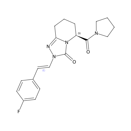 O=C([C@@H]1CCCc2nn(/C=C/c3ccc(F)cc3)c(=O)n21)N1CCCC1